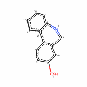 Oc1ccc2c(cnc3ccccc32)c1